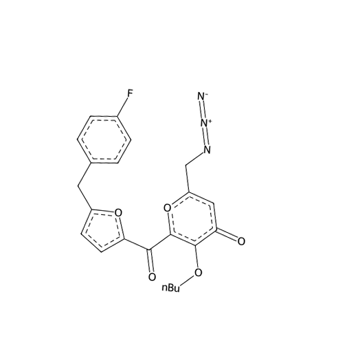 CCCCOc1c(C(=O)c2ccc(Cc3ccc(F)cc3)o2)oc(CN=[N+]=[N-])cc1=O